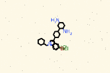 Cl.Cl.NC1CCC(N)C(C2CCC(c3cn(CC4CCCCC4)c4ccc(Br)cc34)CC2)C1